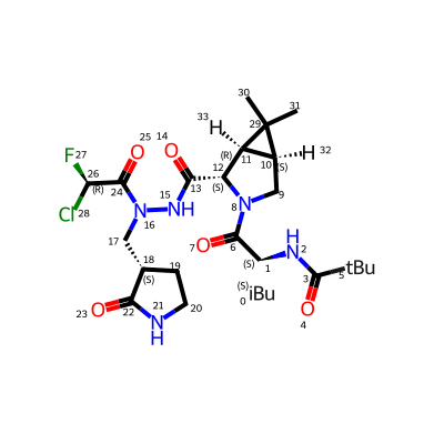 CC[C@H](C)[C@H](NC(=O)C(C)(C)C)C(=O)N1C[C@H]2[C@@H]([C@H]1C(=O)NN(C[C@@H]1CCNC1=O)C(=O)[C@H](F)Cl)C2(C)C